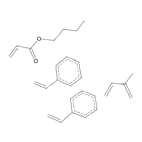 C=CC(=C)C.C=CC(=O)OCCCC.C=Cc1ccccc1.C=Cc1ccccc1